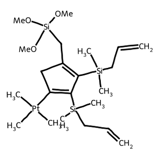 C=CC[Si](C)(C)C1=C(C[Si](OC)(OC)OC)C[C]([Pt]([CH3])([CH3])[CH3])=C1[Si](C)(C)CC=C